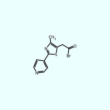 Cc1nc(-c2ccncc2)sc1CC(=O)Br